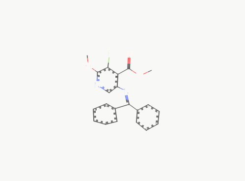 COC(=O)c1c(N=C(c2ccccc2)c2ccccc2)cnc(OC)c1F